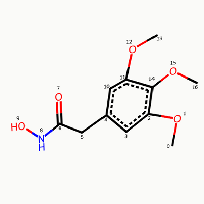 COc1cc(CC(=O)NO)cc(OC)c1OC